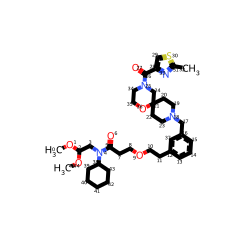 COC(CN(C(=O)CCOCCc1cccc(CN2CCC3(CC2)CN(C(=O)c2csc(C)n2)CCO3)c1)C1CCCCC1)OC